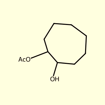 CC(=O)OC1CCCCCCC1O